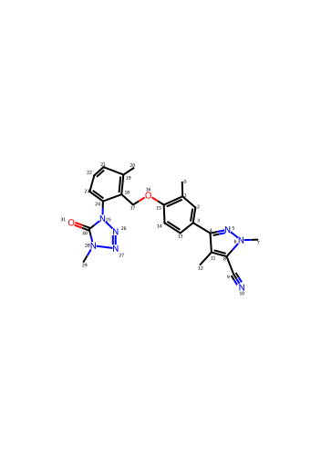 Cc1cc(-c2nn(C)c(C#N)c2C)ccc1OCc1c(C)cccc1-n1nnn(C)c1=O